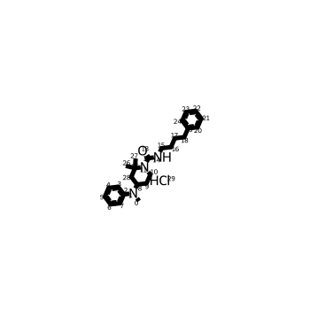 CN(c1ccccc1)C1CCN(C(=O)NCCCCc2ccccc2)C(C)(C)C1.Cl